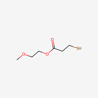 COCCOC(=O)CCS